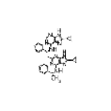 C[C@H](Nc1nc(C[C@@H](Nc2ncnc3[nH]c(C4CC4)nc23)c2ccccc2)nc2[nH]c(C3CC3)nc12)c1ccccc1